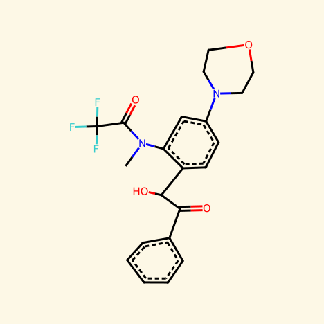 CN(C(=O)C(F)(F)F)c1cc(N2CCOCC2)ccc1C(O)C(=O)c1ccccc1